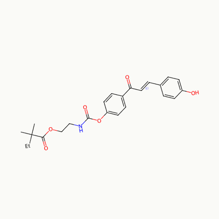 CCC(C)(C)C(=O)OCCNC(=O)Oc1ccc(C(=O)/C=C/c2ccc(O)cc2)cc1